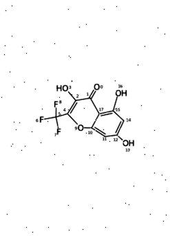 O=c1c(O)c(C(F)(F)F)oc2cc(O)cc(O)c12